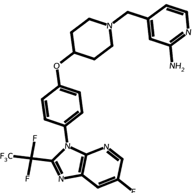 Nc1cc(CN2CCC(Oc3ccc(-n4c(C(F)(F)C(F)(F)F)nc5cc(F)cnc54)cc3)CC2)ccn1